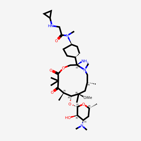 CO[C@]1(C)C[C@@H](C)CN(C)[C@@](N)([C@H]2CC[C@H](N(C)C(=O)CNC3CC3)CC2)COC(=O)C(C)(C)C(=O)[C@H](C)[C@H]1O[C@@H]1O[C@H](C)C[C@H](N(C)C)[C@H]1O